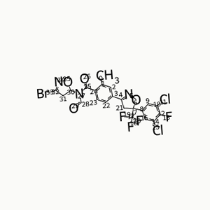 Cc1cc(C2=NO[C@@](c3cc(Cl)c(F)c(Cl)c3)(C(F)(F)F)C2)ccc1C(=O)N(C=O)C1CC(Br)=NO1